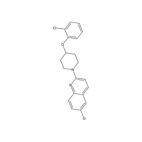 [O]c1ccc2nc(N3CCC(Oc4ccccc4Cl)CC3)ccc2c1